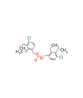 CCc1c(Cl)ccc(CO[PH](=O)OCc2ccc(Cl)c(CC)c2CC)c1CC